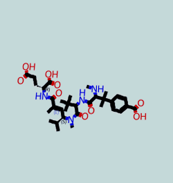 CNC(C(=O)NC(C(=O)N(C)[C@H](/C=C(\C)C(=O)N[C@H](CCC(=O)O)C(=O)O)C(C)C)C(C)(C)C)C(C)(C)c1ccc(C(=O)O)cc1